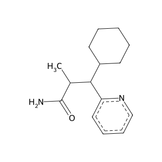 CC(C(N)=O)C(c1ccccn1)C1CCCCC1